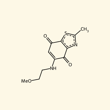 COCCNC1=CC(=O)c2sc(C)nc2C1=O